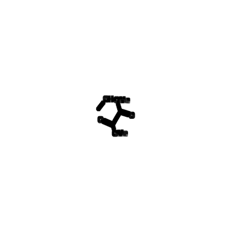 CO.COC(=O)C(=O)OC